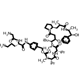 CC[C@H](C)[C@@H]([C@@H](CC(=O)N1CCC[C@H]1C[C@@H](C)C(=O)N[C@H](C)[C@@H](O)c1ccccc1)OC)N(C)C(=O)[C@@H](NC(=O)[C@H](C(C)C)N(C)C(=O)OCc1ccc(NC(=O)[C@H](CCCN)NC(=O)CN)cc1)C(C)C